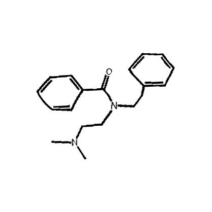 CN(C)CCN(Cc1ccccc1)C(=O)c1ccccc1